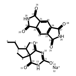 CCCC(C)C1(CC)C(=O)N=C([O-])NC1=O.O=c1[nH]c(=O)c2cc3c(=O)[nH]c(=O)c3cc12.[Na+]